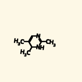 CC1=CN=C(C)NC1C